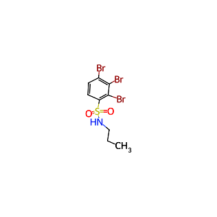 CCCNS(=O)(=O)c1ccc(Br)c(Br)c1Br